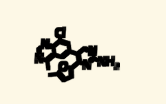 Cc1ccc(-c2nc(N)ncc2-c2cc(Cl)c3ncnc(C)c3c2)o1